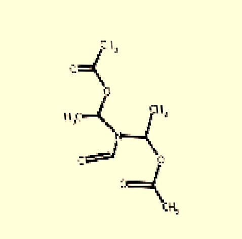 CC(=O)OC(C)N([C]=O)C(C)OC(C)=O